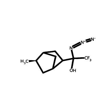 C[C@@H]1CC2CC1CC2C(O)(N=[N+]=[N-])C(F)(F)F